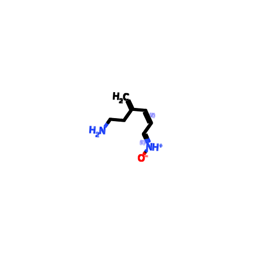 C=C(/C=C\C=[NH+]\[O-])CCN